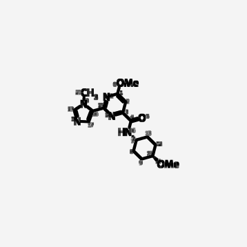 COc1cc(C(=O)N[C@H]2CC[C@H](OC)CC2)nc(-c2cncn2C)n1